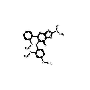 COc1ccc(Cn2c(-c3ccccc3OC)nc3sc([S+](C)[O-])nc3c2=O)c(OC)c1